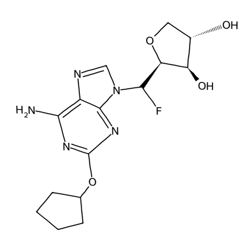 Nc1nc(OC2CCCC2)nc2c1ncn2C(F)[C@H]1OC[C@H](O)[C@H]1O